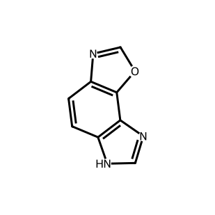 c1nc2c(ccc3ncoc32)[nH]1